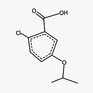 CC(C)Oc1ccc(Cl)c(C(=O)O)c1